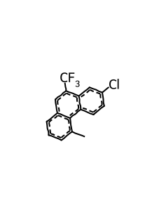 Cc1cccc2cc(C(F)(F)F)c3cc(Cl)ccc3c12